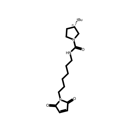 CC(C)(C)[C@H]1CCN(C(=O)NCCCCCCN2C(=O)C=CC2=O)C1